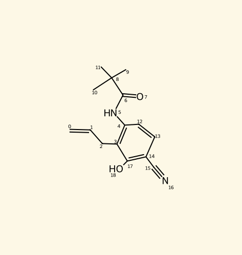 C=CCc1c(NC(=O)C(C)(C)C)ccc(C#N)c1O